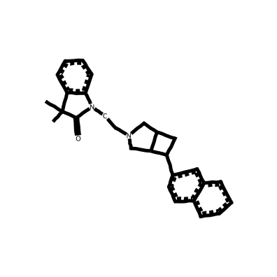 CC1(C)C(=O)N(CCN2CC3CC(c4ccc5ccccc5c4)C3C2)c2ccccc21